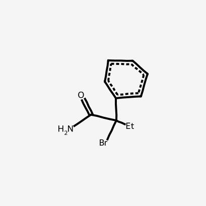 CCC(Br)(C(N)=O)c1ccccc1